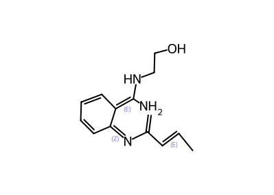 C=C(/C=C/C)/N=C1/C=CC=C/C1=C(/N)NCCO